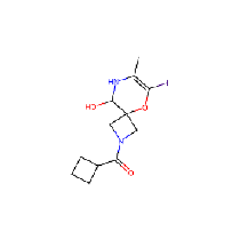 CC1=C(I)OC2(CN(C(=O)C3CCC3)C2)C(O)N1